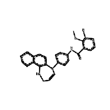 COc1c(Cl)cccc1C(=O)Nc1ccc(N2C=CCNc3c2ccc2ccccc32)cc1